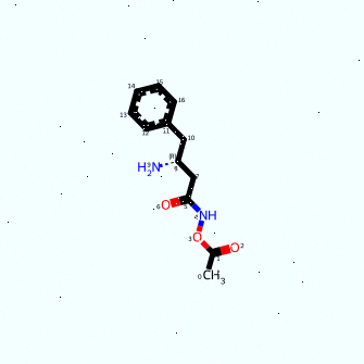 CC(=O)ONC(=O)C[C@H](N)Cc1ccccc1